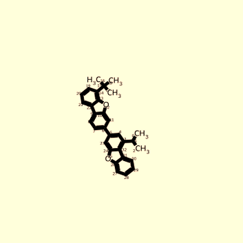 CC(C)c1cc(-c2ccc3c(c2)oc2c(C(C)(C)C)cccc23)cc2oc3ccccc3c12